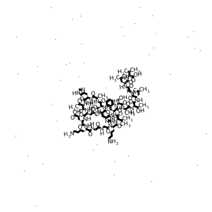 CC(C)C[C@H](NC(=O)CNC(=O)[C@H](CC(C)C)NC(=O)[C@@H](NC(=O)[C@H](C)NC(=O)[C@H](CO)NC(=O)[C@H](Cc1ccccc1)NC(=O)[C@@H](NC(=O)[C@H](CCCCN)NC(=O)CNC(=O)CNC(=O)[C@H](CCCCN)NC(=O)[C@H](CCC(=O)O)NC(=O)[C@H](CC(C)C)NC(=O)[C@@H](NC(=O)[C@H](Cc1c[nH]cn1)NC(=O)[C@H](C)NC(=O)[C@H](CO)NC(=O)[C@@H](N)Cc1c[nH]cn1)C(C)C)C(C)C)[C@@H](C)O)C(=O)N[C@H](C(=O)O)C(C)C